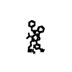 CC(C)[C@H](c1nc2ccccc2n1Cc1ccccc1)N(CCCN)C(=O)c1cc(Br)cs1